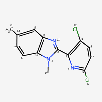 Cn1c(-c2nc(Cl)ccc2Cl)nc2cc(C(F)(F)F)ccc21